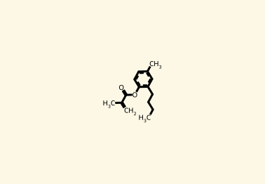 C=C(C)C(=O)Oc1ccc(C)cc1CCCC